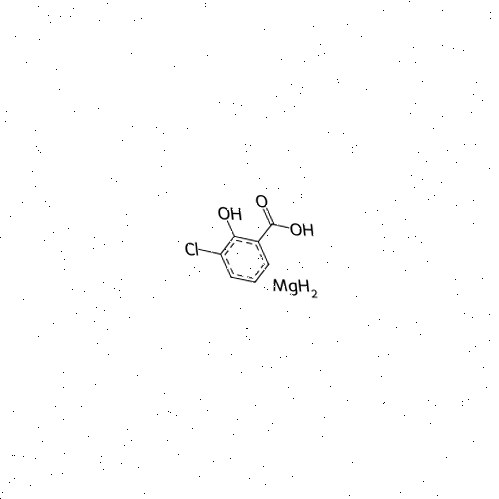 O=C(O)c1cccc(Cl)c1O.[MgH2]